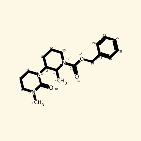 CC1C(N2CCCN(C)C2=O)CCCN1C(=O)OCc1ccccc1